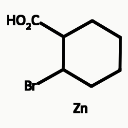 O=C(O)C1CCCCC1Br.[Zn]